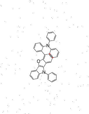 c1ccc(N(c2ccccc2)c2ccccc2-c2cccc3c2oc2c4ccccc4n(-c4ccccc4)c32)cc1